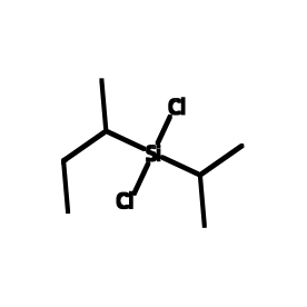 CCC(C)[Si](Cl)(Cl)C(C)C